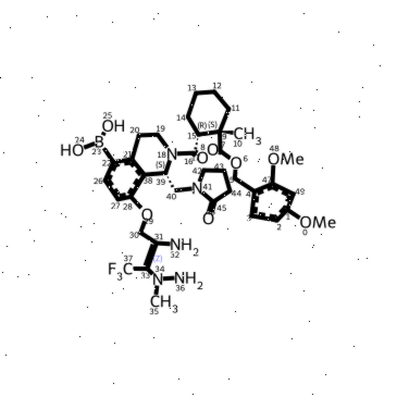 COc1ccc(COC(=O)[C@@]2(C)CCCC[C@H]2C(=O)N2CCc3c(B(O)O)ccc(OC/C(N)=C(/N(C)N)C(F)(F)F)c3[C@H]2CN2CCCC2=O)c(OC)c1